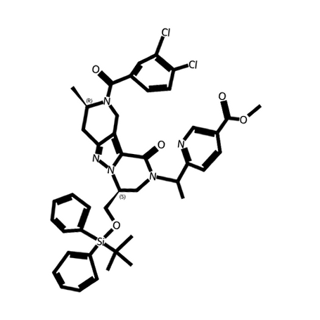 COC(=O)c1ccc(C(C)N2C[C@@H](CO[Si](c3ccccc3)(c3ccccc3)C(C)(C)C)n3nc4c(c3C2=O)CN(C(=O)c2ccc(Cl)c(Cl)c2)[C@H](C)C4)nc1